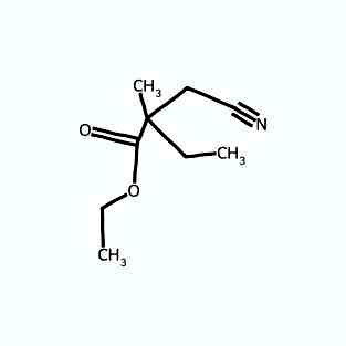 CCOC(=O)C(C)(CC)CC#N